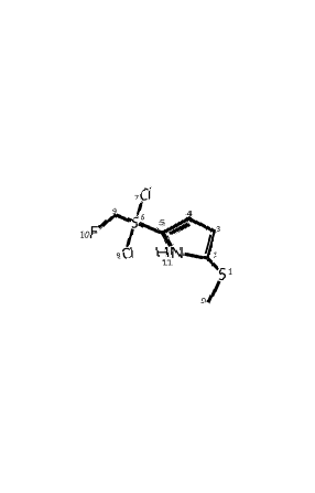 CSc1ccc(S(Cl)(Cl)CF)[nH]1